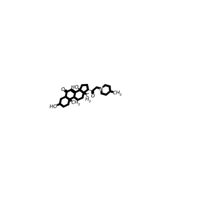 CC1CCN(CC(=O)[C@H]2CC[C@@]3(O)C4=CC(=O)C5CC(O)CCC5(C)C4CCC23C)CC1